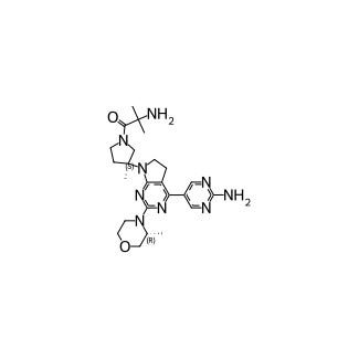 C[C@@H]1COCCN1c1nc(-c2cnc(N)nc2)c2c(n1)N([C@@]1(C)CCN(C(=O)C(C)(C)N)C1)CC2